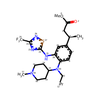 COC(=O)C[C@@H](C)c1ccc(N(CC(C)C)C2CCN(C)CC2)c(Nc2nc(C(F)(F)F)ns2)c1